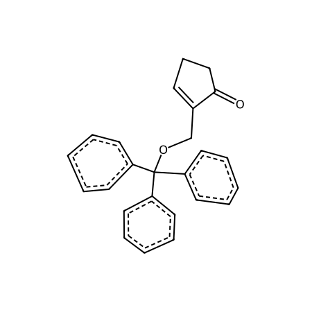 O=C1CCC=C1COC(c1ccccc1)(c1ccccc1)c1ccccc1